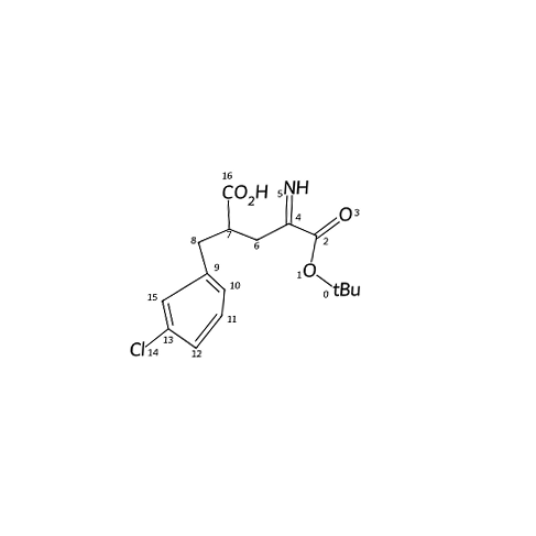 CC(C)(C)OC(=O)C(=N)CC(Cc1cccc(Cl)c1)C(=O)O